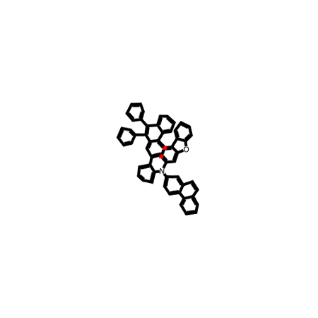 c1ccc(-c2c(-c3ccccc3)c3cc(-c4ccccc4N(c4ccc5c(ccc6ccccc65)c4)c4ccc5c(c4)oc4ccccc45)ccc3c3ccccc23)cc1